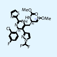 CO/N=C/[C@@H](CC1=C(c2ccn(C(F)F)n2)[C@H](c2ccc(F)cc2Cl)N=C(c2nccs2)N1)NC(=O)OC